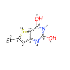 CCc1cc2nc(O)nc(O)c2s1